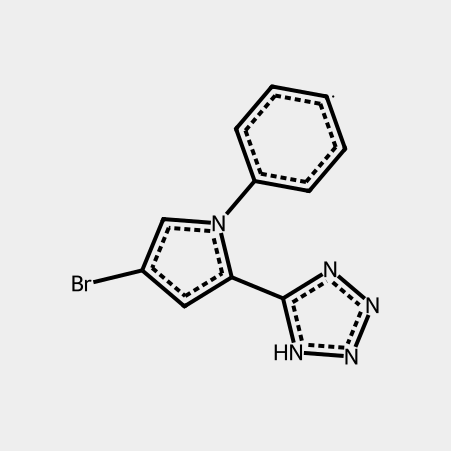 Brc1cc(-c2nnn[nH]2)n(-c2cc[c]cc2)c1